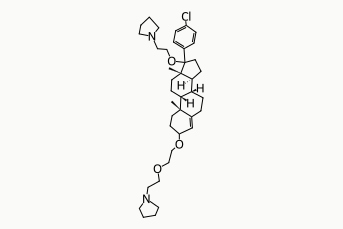 C[C@]12CCC(OCCOCCN3CCCC3)C=C1CC[C@@H]1[C@H]2CC[C@@]2(C)[C@H]1CCC2(OCCN1CCCC1)c1ccc(Cl)cc1